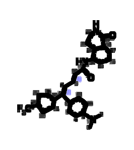 CN(C)c1ccc(/C(=C\C=C\C(=O)Nc2cccc3c(=O)[nH]ccc23)c2ccc(C(F)(F)F)cc2)cc1